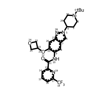 CC(C)(C)N1CCC(n2cc3cc(NC(=O)c4cccc(C(F)(F)F)n4)c(OC4COC4)cc3n2)CC1